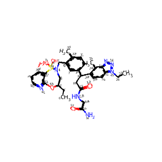 CCC1CN(Cc2cc(C(CC(=O)NCC(N)=O)c3ccc4c(nnn4CC)c3C)ccc2C)S(O)(O)c2cccnc2O1